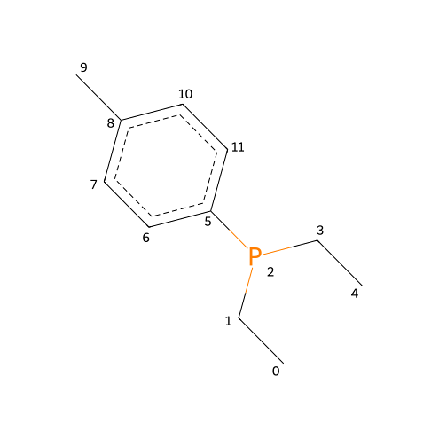 CCP(CC)c1ccc(C)cc1